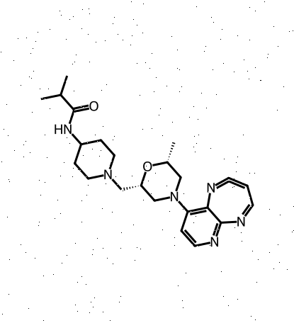 CC(C)C(=O)NC1CCN(C[C@H]2CN(c3ccnc4c3N=C=CC=N4)C[C@@H](C)O2)CC1